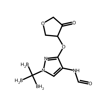 BC(B)(B)n1cc(NC=O)c(OC2COCC2=O)n1